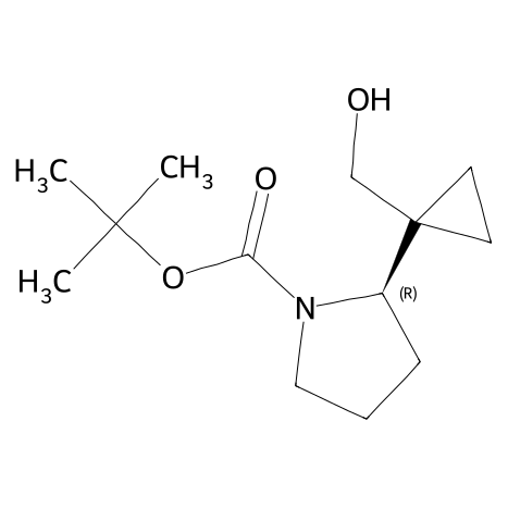 CC(C)(C)OC(=O)N1CCC[C@@H]1C1(CO)CC1